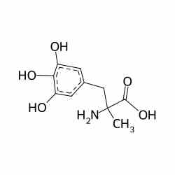 CC(N)(Cc1cc(O)c(O)c(O)c1)C(=O)O